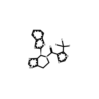 O=C(c1ocnc1C(F)(F)F)N1CCc2[nH]cnc2[C@H]1c1nc2ccccc2s1